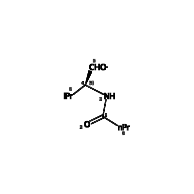 CCCC(=O)N[C@H]([C]=O)C(C)C